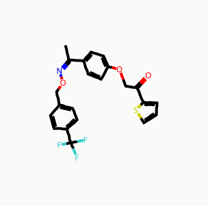 CC(=NOCc1ccc(C(F)(F)F)cc1)c1ccc(OCC(=O)c2cccs2)cc1